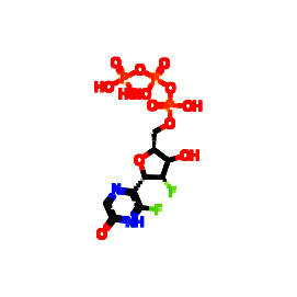 O=c1cnc([C@@H]2O[C@H](COP(=O)(O)OP(=O)(O)OP(=O)(O)O)C(O)[C@@H]2F)c(F)[nH]1